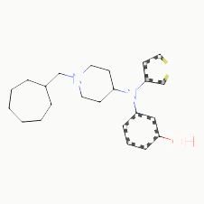 Oc1cccc(N(c2ccsc2)C2CCN(CC3CCCCCC3)CC2)c1